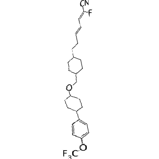 N#CC(F)=CC=CCCC1CCC(COC2CCC(c3ccc(OC(F)(F)F)cc3)CC2)CC1